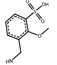 COc1c(C[NH])cccc1S(=O)(=O)O